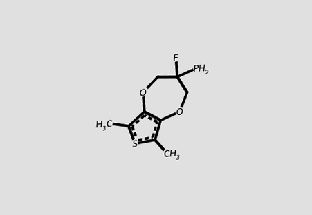 Cc1sc(C)c2c1OCC(F)(P)CO2